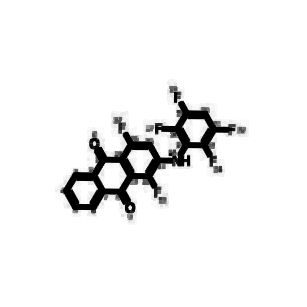 O=C1c2ccccc2C(=O)c2c(F)c(Nc3c(F)c(F)cc(F)c3F)cc(F)c21